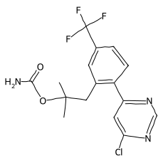 CC(C)(Cc1cc(C(F)(F)F)ccc1-c1cc(Cl)ncn1)OC(N)=O